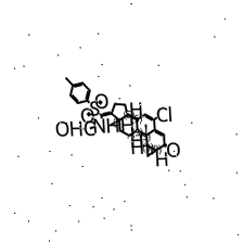 Cc1ccc(S(=O)(=O)C(NC=O)=C2CC[C@H]3[C@@H]4C=C(Cl)C5=CC(=O)[C@@H]6C[C@@H]6[C@]5(C)[C@H]4CC[C@]23C)cc1